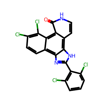 O=c1[nH]ccc2c3[nH]c(-c4c(Cl)cccc4Cl)nc3c3ccc(Cl)c(Cl)c3c12